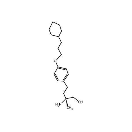 C[C@](N)(CO)CCc1ccc(OCCCC2CCCCC2)cc1